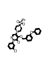 CC(C)S(=O)(=O)N1CCN(c2cnn(-c3cccc(Cl)c3)c(=O)c2OCc2cccc(Oc3ccccc3)c2)CC1